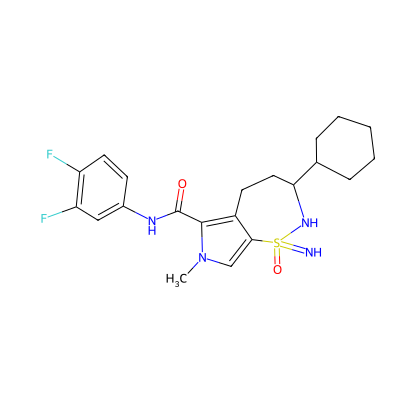 Cn1cc2c(c1C(=O)Nc1ccc(F)c(F)c1)CCC(C1CCCCC1)NS2(=N)=O